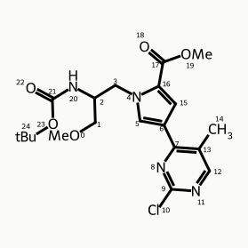 COCC(Cn1cc(-c2nc(Cl)ncc2C)cc1C(=O)OC)NC(=O)OC(C)(C)C